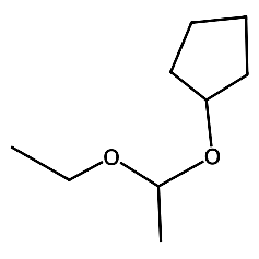 CCOC(C)OC1CCCC1